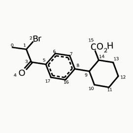 CC(Br)C(=O)c1ccc(C2CCCCC2C(=O)O)cc1